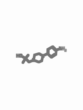 CC(C)(O)CN1CCN(c2ccc(N)cc2)CC1